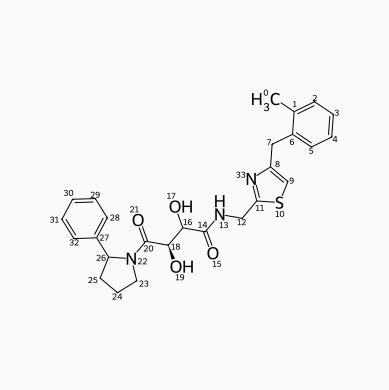 Cc1ccccc1Cc1csc(CNC(=O)C(O)[C@@H](O)C(=O)N2CCCC2c2ccccc2)n1